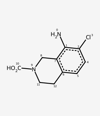 Nc1c(Cl)ccc2c1CN(C(=O)O)CC2